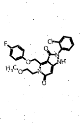 COCCn1c(COc2ccc(F)cc2)c2c(=O)n(-c3ccccc3Cl)[nH]c2cc1=O